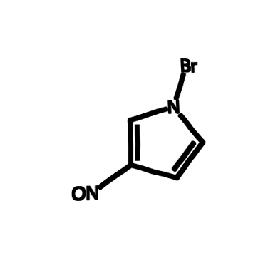 O=Nc1ccn(Br)c1